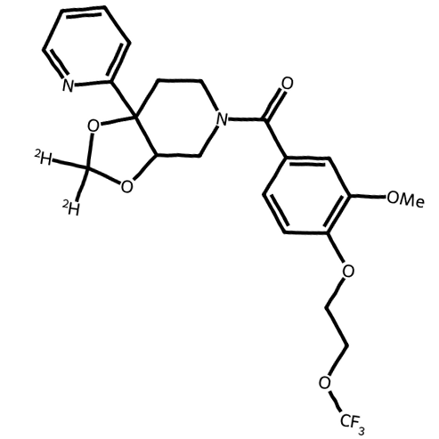 [2H]C1([2H])OC2CN(C(=O)c3ccc(OCCOC(F)(F)F)c(OC)c3)CCC2(c2ccccn2)O1